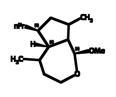 CCC[C@H]1CC(C)C2[C@@H](OC)OCCC(C)[C@H]21